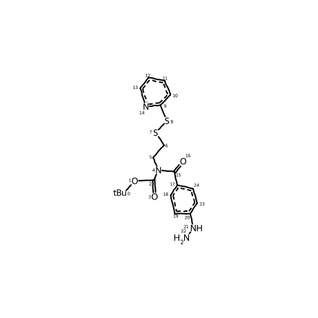 CC(C)(C)OC(=O)N(CCSSc1ccccn1)C(=O)c1ccc(NN)cc1